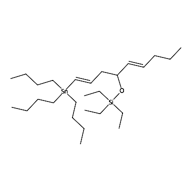 CCCC=CC(CC=[CH][Sn]([CH2]CCC)([CH2]CCC)[CH2]CCC)O[Si](CC)(CC)CC